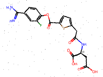 N=C(N)c1ccc(OC(=O)c2ccc(CC(=O)N[C@@H](CC(=O)O)C(=O)O)s2)c(F)c1